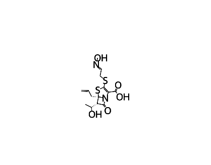 C=CC[C@]12SC(SCC=NO)=C(C(=O)O)N1C(=O)[C@@H]2C(C)O